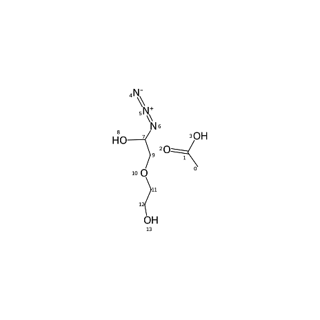 CC(=O)O.[N-]=[N+]=NC(O)COCCO